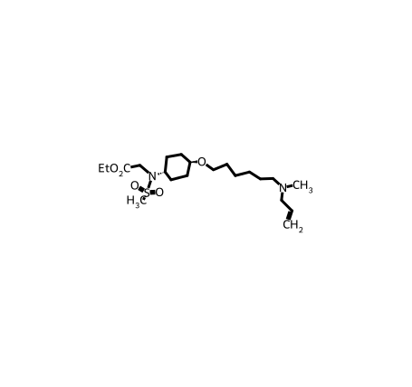 C=CCN(C)CCCCCCO[C@H]1CC[C@H](N(CC(=O)OCC)S(C)(=O)=O)CC1